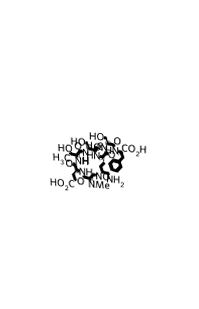 CN[C@@H](CN=O)C(=O)N[C@@H](CCC(=O)O)C(=O)N[C@H](C(=O)N[C@@H](CO)C(=O)N[C@@H](CCCCN)C(=O)N(C)[C@@H](CO)C(=O)N[C@@H](Cc1ccccc1)C(=O)O)C(C)O